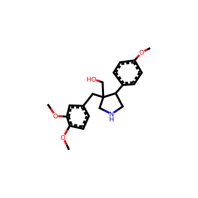 COc1ccc(C2CNCC2(CO)Cc2ccc(OC)c(OC)c2)cc1